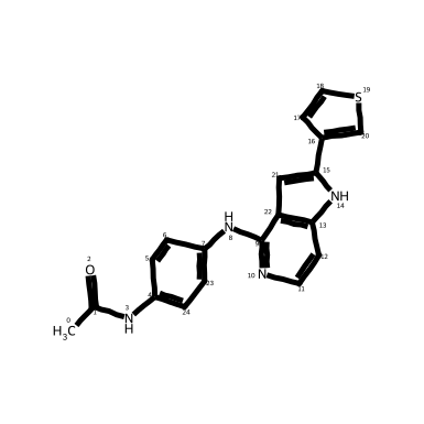 CC(=O)Nc1ccc(Nc2nccc3[nH]c(-c4ccsc4)cc23)cc1